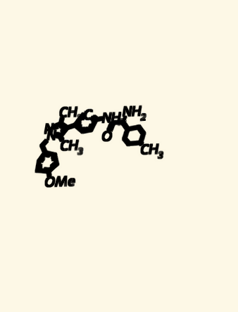 COc1ccc(Cn2nc(C)c(-c3ccc(NC(=O)[C@@H](N)C4CCC(C)CC4)cc3)c2C)cc1